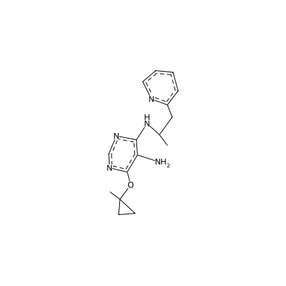 CC(Cc1ccccn1)Nc1ncnc(OC2(C)CC2)c1N